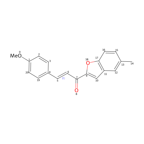 COc1ccc(/C=C/C(=O)c2cc3cc(C)ccc3o2)cc1